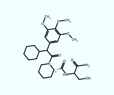 COc1cc(C(C(=O)N2CCCC[C@H]2C(=O)NC(CO)C(N)=O)C2CCCCC2)cc(OC)c1OC